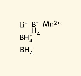 [BH4-].[BH4-].[BH4-].[Li+].[Mn+2]